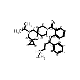 CNCCC(Oc1ccccc1C(=O)N1CCC2(CC1)CN(C(C)C)CC1(CC1)O2)c1ccccc1